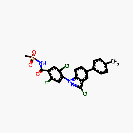 CS(=O)(=O)NC(=O)c1cc(Cl)c(-n2nc(Cl)c3cc(-c4ccc(C(F)(F)F)cc4)ccc32)cc1F